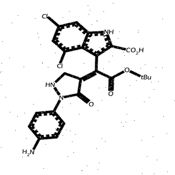 CC(C)(C)OC(=O)C(=C1CNN(c2ccc(N)cc2)C1=O)c1c(C(=O)O)[nH]c2cc(Cl)cc(Cl)c12